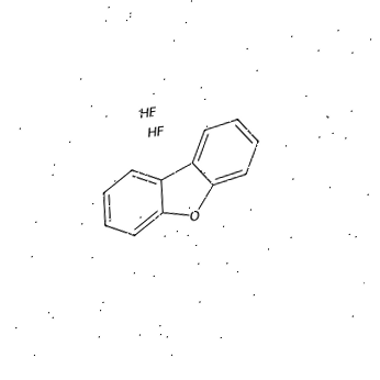 F.F.c1ccc2c(c1)oc1ccccc12